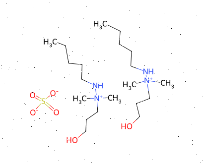 CCCCCN[N+](C)(C)CCCO.CCCCCN[N+](C)(C)CCCO.O=S(=O)([O-])[O-]